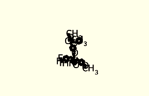 CCOC(=O)C(C)(Cc1ccc(OCCC2(Cc3ccc(C(F)(F)F)cc3)CNC(=O)N2Cc2ccc(OC)cc2)cc1)Oc1ccccc1